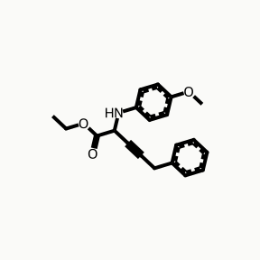 CCOC(=O)C(C#CCc1ccccc1)Nc1ccc(OC)cc1